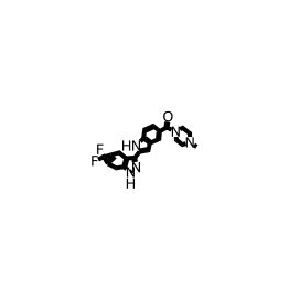 CN1CCN(C(=O)c2ccc3[nH]c(-c4n[nH]c5c4CC4C(F)(F)C4(C)C5)cc3c2)CC1